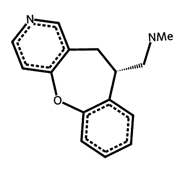 CNC[C@H]1Cc2cnccc2Oc2ccccc21